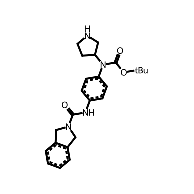 CC(C)(C)OC(=O)N(c1ccc(NC(=O)N2Cc3ccccc3C2)cc1)C1CCNC1